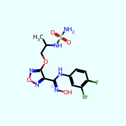 CC(COc1nonc1/C(=N/O)Nc1ccc(F)c(Br)c1)NS(N)(=O)=O